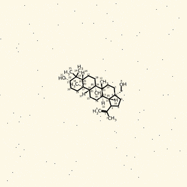 C=C(C)C1CC[C@]2(CO)CC[C@]3(C)[C@H](CC[C@@H]4[C@@]5(C)CC[C@H](O)C(C)(C)[C@@H]5CC[C@]43C)[C@@H]12